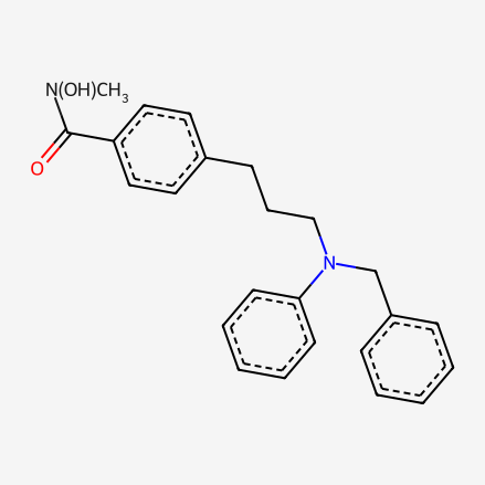 CN(O)C(=O)c1ccc(CCCN(Cc2ccccc2)c2ccccc2)cc1